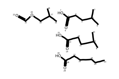 CC(C)CCC(=O)O.CC(C)CCC(=O)O.CC(C)COC=O.CCCCCC(=O)O